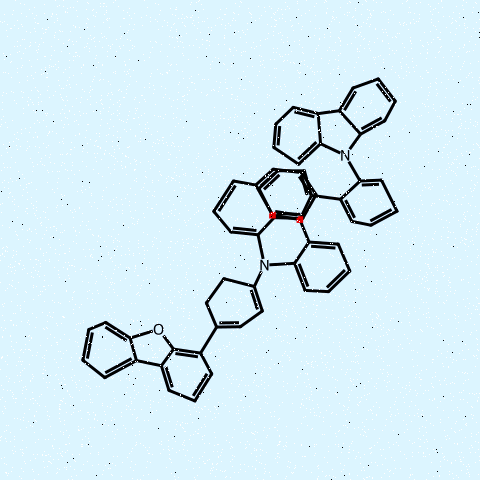 C1=C(c2cccc3c2oc2ccccc23)CCC(N(c2ccccc2-c2ccccc2-c2ccccc2-n2c3ccccc3c3ccccc32)c2cccc3ccccc23)=C1